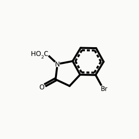 O=C(O)N1C(=O)Cc2c(Br)cccc21